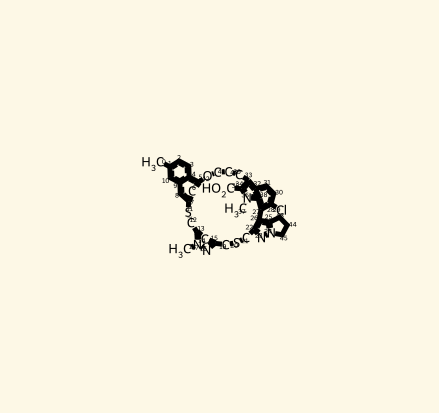 Cc1ccc2c3cc(cc2c1)SCc1cc(nn1C)CSCc1nn2c(c1-c1c(Cl)ccc4c(c(C(=O)O)n(C)c14)CCCO3)CCC2